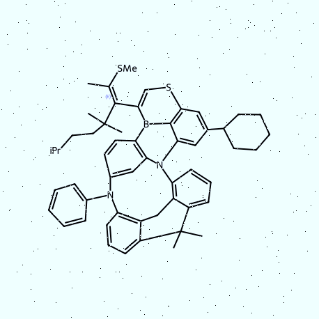 CS/C(C)=C(\C1=CSc2cc(C3CCCCC3)cc3c2B1c1ccc2cc1N3c1cccc3c1Cc1c(cccc1C3(C)C)N2c1ccccc1)C(C)(C)CCC(C)C